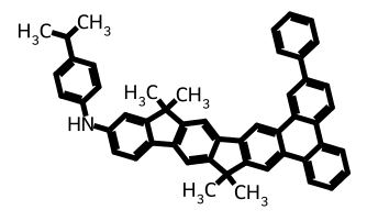 CC(C)c1ccc(Nc2ccc3c(c2)C(C)(C)c2cc4c(cc2-3)C(C)(C)c2cc3c5ccccc5c5ccc(-c6ccccc6)cc5c3cc2-4)cc1